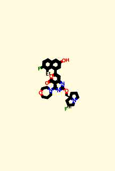 CCc1c(F)ccc2cc(O)cc(-c3cc4nc(OC[C@@]56CCCN5C[C@H](F)C6)nc(N5CCCOCC5)c4c(=O)o3)c12